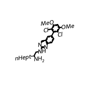 CCCCCCC[C@H](N)CNc1ncc2cc(-c3c(Cl)c(OC)cc(OC)c3Cl)ccc2n1